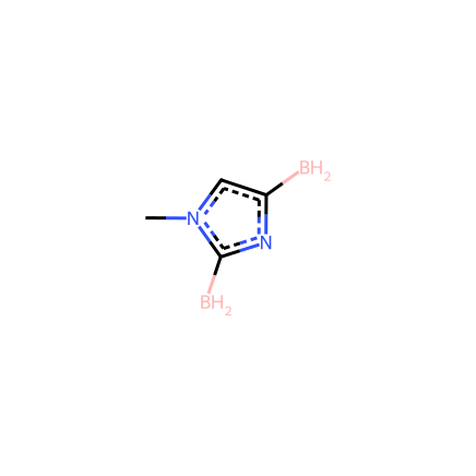 Bc1cn(C)c(B)n1